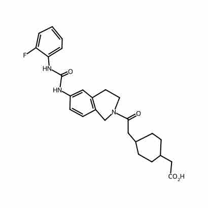 O=C(O)CC1CCC(CC(=O)N2CCc3cc(NC(=O)Nc4ccccc4F)ccc3C2)CC1